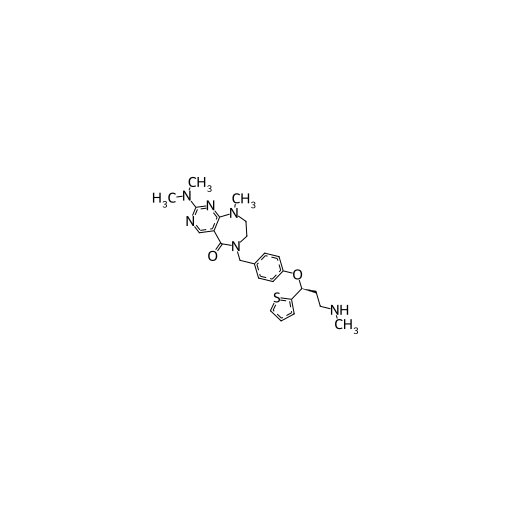 CNCC[C@H](Oc1ccc(CN2CCN(C)c3nc(N(C)C)ncc3C2=O)cc1)c1cccs1